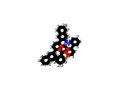 c1ccc(-c2ccccc2N(c2ccc3c(c2)sc2ccccc23)c2cc3ccccc3cc2-c2ccc(-c3ccc4ccccc4c3)cc2)cc1